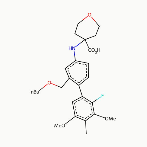 CCCCOCc1cc(NC2(C(=O)O)CCOCC2)ccc1-c1cc(OC)c(C)c(OC)c1F